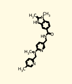 C=C1Nc2cc(C(=O)NCc3ccc(N(C)Cc4ccc(C)cn4)nc3)ccc2N1C